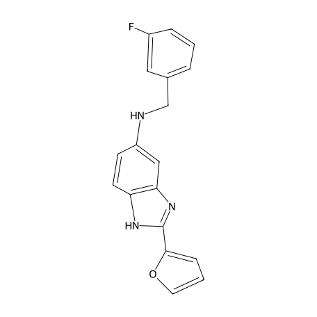 Fc1cccc(CNc2ccc3[nH]c(-c4ccco4)nc3c2)c1